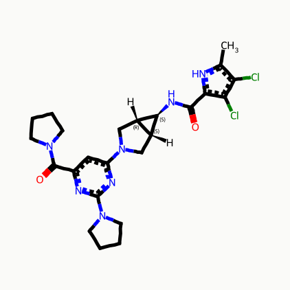 Cc1[nH]c(C(=O)N[C@H]2[C@@H]3CN(c4cc(C(=O)N5CCCC5)nc(N5CCCC5)n4)C[C@@H]32)c(Cl)c1Cl